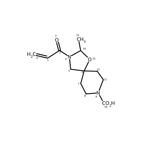 C=CC(=O)N1CC2(CCN(C(=O)O)CC2)OC1C